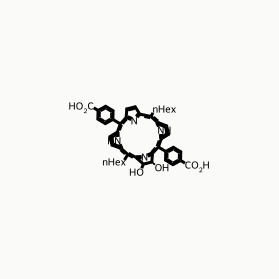 CCCCCCc1c2nc(c(-c3ccc(C(=O)O)cc3)c3ccc([nH]3)c(CCCCCC)c3nc(c(-c4ccc(C(=O)O)cc4)c4ccc1[nH]4)[C@@H](O)C3O)C=C2